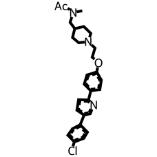 CC(=O)N(C)CC1CCN(CCOc2ccc(-c3ccc(-c4ccc(Cl)cc4)cn3)cc2)CC1